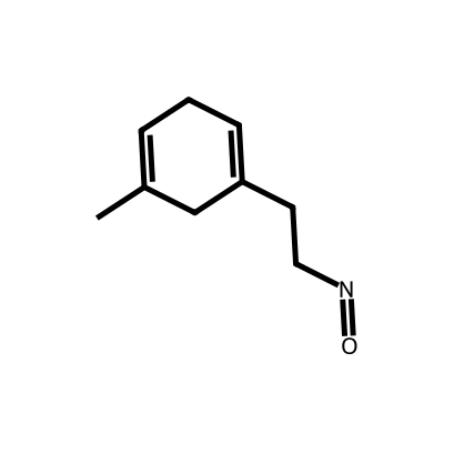 CC1=CCC=C(CCN=O)C1